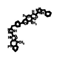 CN1C(=O)[C@@H](NC(=O)c2nnc(Cc3ccc(-c4ccc5c(c4)[C@@H](F)C[C@@H](NC(=O)c4nnc(Cc6ccccc6)[nH]4)C(=O)N5C)cc3)[nH]2)C[C@@H](F)c2ccccc21